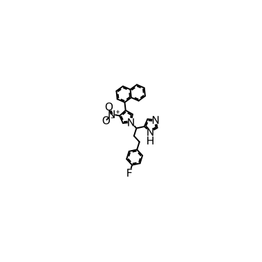 O=[N+]([O-])c1cn(C(CCc2ccc(F)cc2)c2cnc[nH]2)cc1-c1cccc2ccccc12